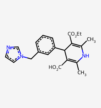 CCOC(=O)C1=C(C)NC(C)=C(C(=O)O)C1c1cccc(Cn2ccnc2)c1